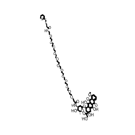 COc1cccc2c1C(=O)c1c(O)c3c(c(O)c1C2=O)C[C@@](O)(C(=O)CO)C[C@@H]3OC1C[C@H](NC(=O)CCOCCOCCOCCOCCOCCOCCOCCOCCOCCOCCOCCOCCNC(=O)CCSSc2ccccn2)[C@H](O)[C@@H](C)O1